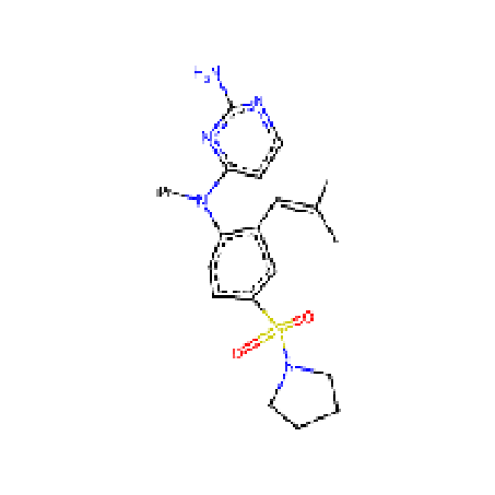 CC(C)=Cc1cc(S(=O)(=O)N2CCCC2)ccc1N(c1ccnc(N)n1)C(C)C